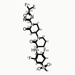 CS(=O)(=O)c1cc(F)c(NC2CCCN(C3CCN(c4noc(C(F)F)n4)C(=O)C3)C2=O)c(F)c1